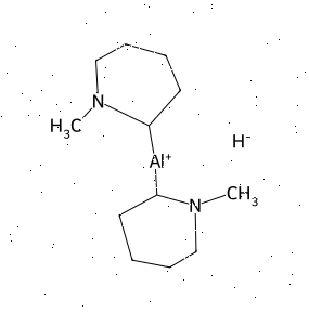 CN1CCCC[CH]1[Al+][CH]1CCCCN1C.[H-]